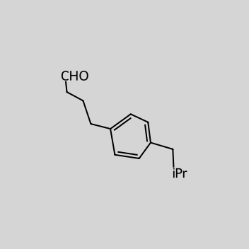 CC(C)Cc1ccc(CCCC=O)cc1